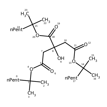 CCCCCC(C)(C)OC(=O)CC(O)(CC(=O)OC(C)(C)CCCCC)C(=O)OC(C)(C)CCCCC